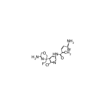 C=C(/C=C\C(Br)=C/N)C(=O)Nc1cnc(Cl)c(C2(CF)COCC(N)=N2)c1